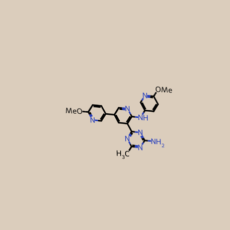 COc1ccc(Nc2ncc(-c3ccc(OC)nc3)cc2-c2nc(C)nc(N)n2)cn1